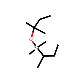 CCC(C)[Si](C)(C)OC(C)(C)CC